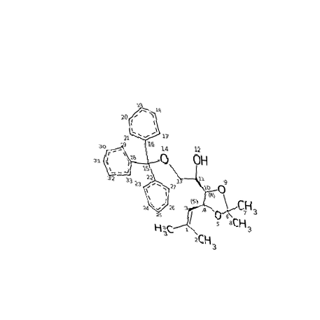 CC(C)=C[C@@H]1OC(C)(C)O[C@@H]1C(O)COC(c1ccccc1)(c1ccccc1)c1ccccc1